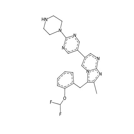 Cc1nc2ncc(-c3cnc(N4CCNCC4)nc3)cn2c1Cc1ccccc1OC(F)F